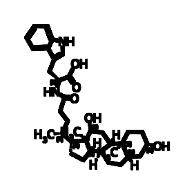 C[C@H](CCC(=O)N[C@@H](Cc1c[nH]c2ccccc12)C(=O)O)[C@H]1CC[C@H]2[C@@H]3CC[C@@H]4C[C@H](O)CC[C@]4(C)[C@H]3C[C@H](O)[C@]12C